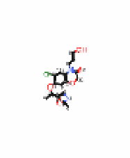 Cc1ncc(C(C)Oc2cc3c(cc2Cl)N(CCCO)C(=O)CO3)o1